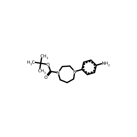 CC(C)(C)OC(=O)N1CCCN(c2ccc(N)cc2)CC1